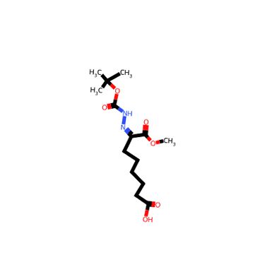 COC(=O)/C(CCCCCC(=O)O)=N\NC(=O)OC(C)(C)C